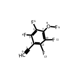 C#Cc1c(F)c(F)c(OF)c(F)c1F